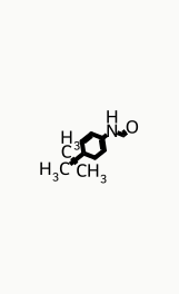 CC(C)(C)C1C=CC(NC=O)=CC1